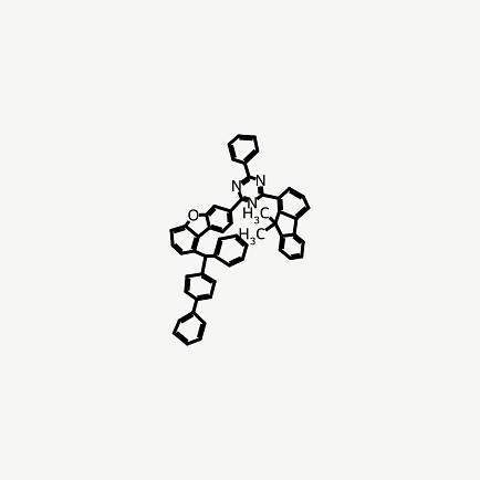 CC1(C)c2ccccc2-c2cccc(-c3nc(-c4ccccc4)nc(-c4ccc5c(c4)oc4cccc(C(c6ccccc6)c6ccc(-c7ccccc7)cc6)c45)n3)c21